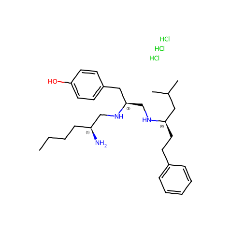 CCCC[C@H](N)CN[C@H](CN[C@H](CCc1ccccc1)CC(C)C)Cc1ccc(O)cc1.Cl.Cl.Cl